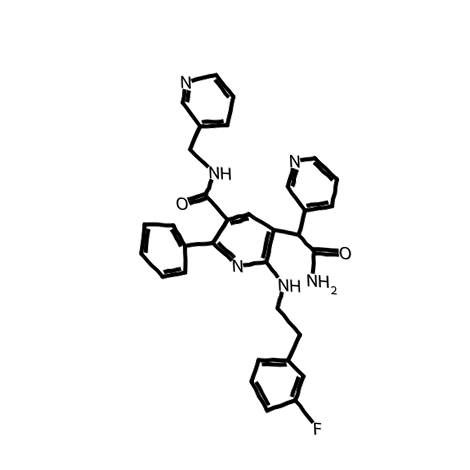 NC(=O)C(c1cccnc1)c1cc(C(=O)NCc2cccnc2)c(-c2ccccc2)nc1NCCc1cccc(F)c1